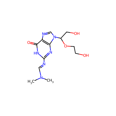 CN(C)C=Nc1nc2c(ncn2C(CO)OCCO)c(=O)[nH]1